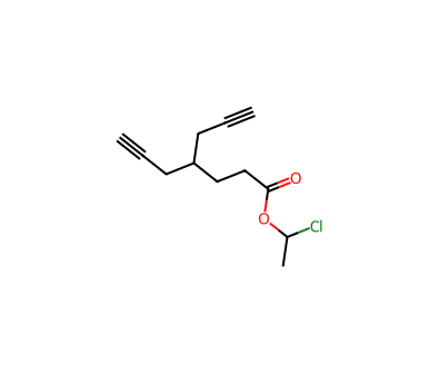 C#CCC(CC#C)CCC(=O)OC(C)Cl